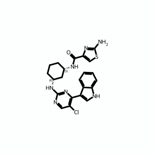 Nc1nc(C(=O)N[C@H]2CCC[C@@H](Nc3ncc(Cl)c(-c4c[nH]c5ccccc45)n3)C2)cs1